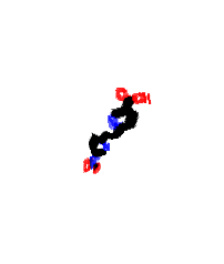 O=C(O)c1ccc(C=Cc2ccc([N+](=O)[O-])cn2)nc1